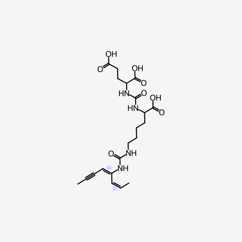 CC#C/C=C(\C=C/C)NC(=O)NCCCCC(NC(=O)NC(CCC(=O)O)C(=O)O)C(=O)O